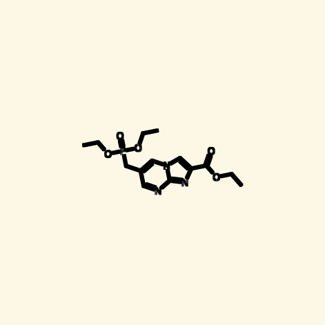 CCOC(=O)c1cn2cc(CP(=O)(OCC)OCC)cnc2n1